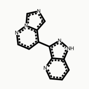 c1cnc2c(-c3ccnn4cncc34)n[nH]c2c1